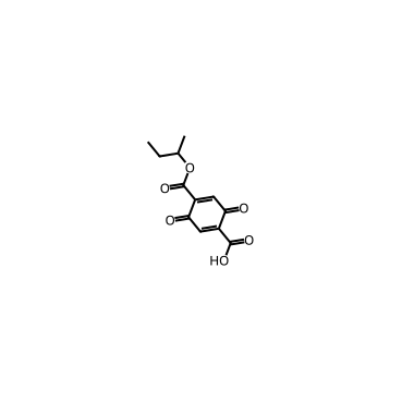 CCC(C)OC(=O)C1=CC(=O)C(C(=O)O)=CC1=O